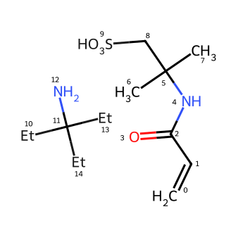 C=CC(=O)NC(C)(C)CS(=O)(=O)O.CCC(N)(CC)CC